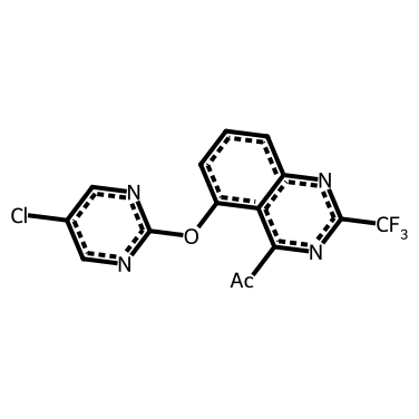 CC(=O)c1nc(C(F)(F)F)nc2cccc(Oc3ncc(Cl)cn3)c12